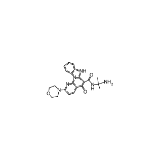 CC(C)(N)NC(=O)c1c(=O)c2ccc(N3CCOCC3)nc2n2c1[nH]c1ccccc12